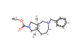 CC(C)(C)OC(=O)N1C[C@H]2CN(Cc3ccccc3)CCC[C@H]2C1